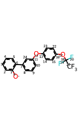 [O]c1ccccc1-c1cccc(Oc2ccc(OC(F)(F)C(F)(F)F)cc2)c1